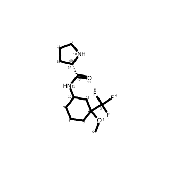 COC1(C(F)(F)F)CCCC(NC(=O)[C@@H]2CCCN2)C1